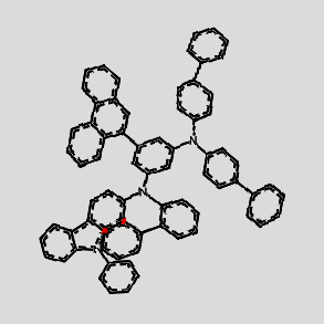 c1ccc(-c2ccc(N(c3ccc(-c4ccccc4)cc3)c3cc(-c4cc5ccccc5c5ccccc45)cc(N(c4ccc5c6ccccc6n(-c6ccccc6)c5c4)c4ccccc4-c4ccccc4)c3)cc2)cc1